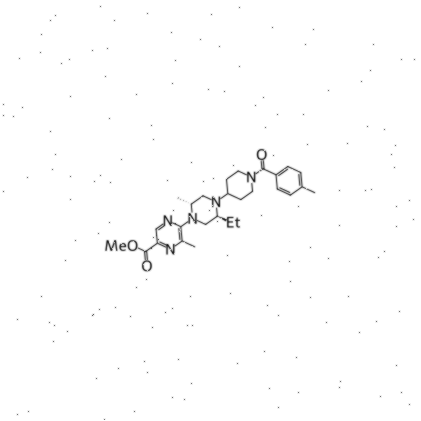 CC[C@H]1CN(c2ncc(C(=O)OC)nc2C)[C@H](C)CN1C1CCN(C(=O)c2ccc(C)cc2)CC1